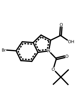 CC(C)(C)OC(=O)n1c(C(=O)O)cc2cc(Br)ccc21